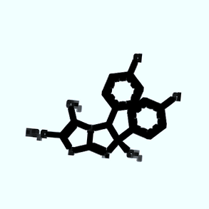 CC1=C(C(=O)O)SC2=N[C@@](C)(c3ccc(Cl)cc3)C(c3ccc(Cl)cc3)N21